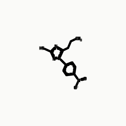 CCCc1nc(S)nn1-c1ccc([N+](=O)[O-])cc1